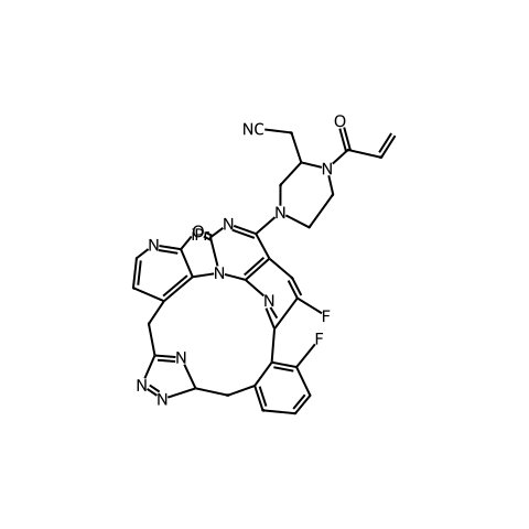 C=CC(=O)N1CCN(c2nc(=O)n3c4nc(c(F)cc24)-c2c(F)cccc2CC2N=NC(=N2)Cc2ccnc(C(C)C)c2-3)CC1CC#N